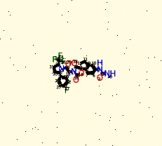 CNC(=O)Nc1ccc2c(c1)CC[C@@]21OC(=O)N(CC(=O)N2[C@@H](c3ccc(F)cc3)CC[C@H]2C(F)(F)F)C1=O